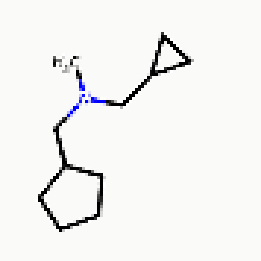 CN(CC1CCCC1)CC1CC1